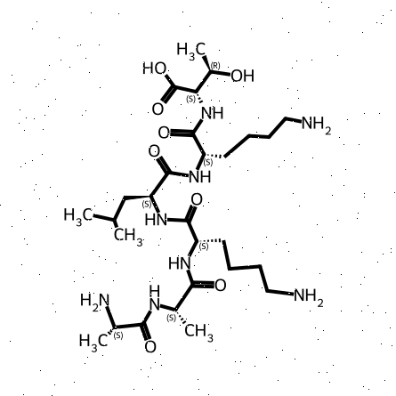 CC(C)C[C@H](NC(=O)[C@H](CCCCN)NC(=O)[C@H](C)NC(=O)[C@H](C)N)C(=O)N[C@@H](CCCCN)C(=O)N[C@H](C(=O)O)[C@@H](C)O